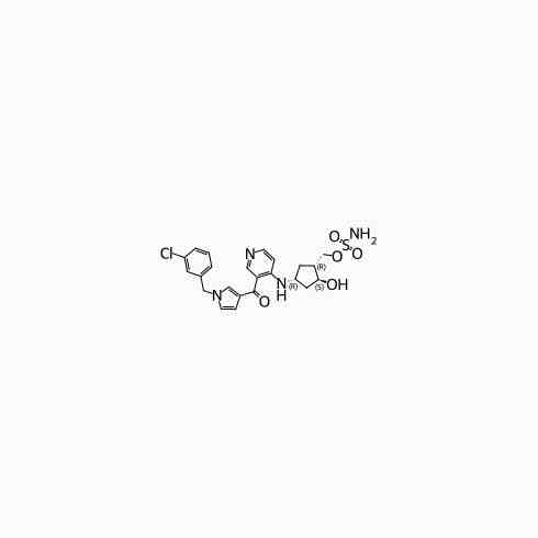 NS(=O)(=O)OC[C@H]1C[C@@H](Nc2ccncc2C(=O)c2ccn(Cc3cccc(Cl)c3)c2)C[C@@H]1O